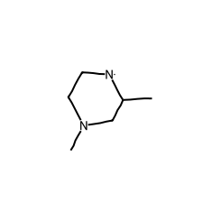 CC1CN(C)CC[N]1